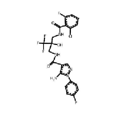 Nc1c(C(=O)NCC(O)(CNC(=O)c2c(F)cccc2Cl)C(F)(F)F)cnn1-c1ccc(F)cc1